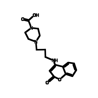 O=C(O)N1CCN(CCCNc2cc(=O)oc3ccccc23)CC1